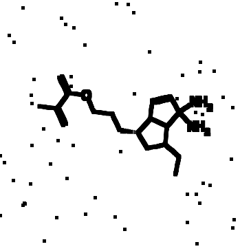 C=C(C)C(=C)OCCC[C@H]1CC(CC)C2C1C=CC2(N)N